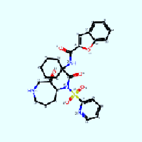 O=C(NC1(C(=O)N([C@H]2CCCNCC2=O)S(=O)(=O)c2ccccn2)CCCCC1)c1cc2ccccc2o1